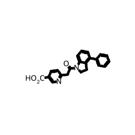 O=C(O)c1ccc(CC(=O)N2CCc3c(-c4ccccc4)cccc32)nc1